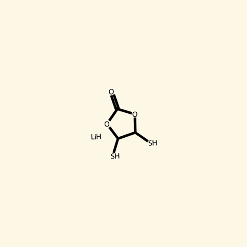 O=C1OC(S)C(S)O1.[LiH]